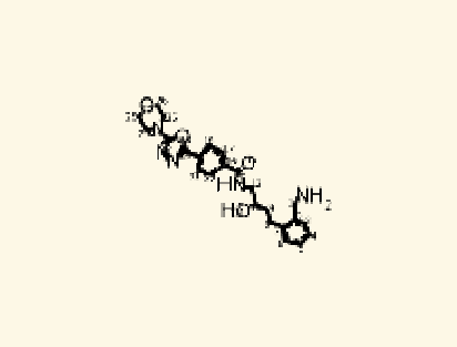 NCc1ccccc1CCC(O)CNC(=O)c1ccc(-c2nnc(N3CCOCC3)o2)cc1